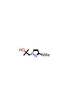 CNc1ccn(CC(C)(C)O)n1